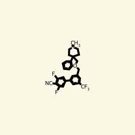 CN1CCC(COCc2cc(-c3cc(F)c(C#N)c(F)c3)cc(C(F)(F)F)c2)(c2ccccc2)CC1